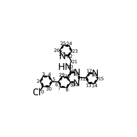 Clc1cccc(-c2ccc3nc(-c4cccnc4)nc(NCc4ccccn4)c3c2)c1